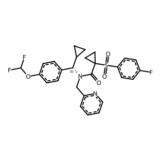 O=C(N(Cc1ccccn1)[C@H](c1ccc(OC(F)F)cc1)C1CC1)C1(S(=O)(=O)c2ccc(F)cc2)CC1